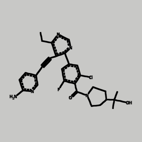 CCc1ncnc(-c2cc(F)c(C(=O)N3CCC(C(C)(C)O)CC3)c(Cl)c2)c1C#Cc1ccc(N)nc1